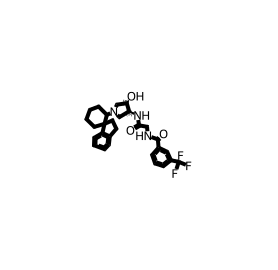 O=C(CNC(=O)c1cccc(C(F)(F)F)c1)N[C@H]1CN(C2CCCCC23CCc2ccccc23)C[C@@H]1O